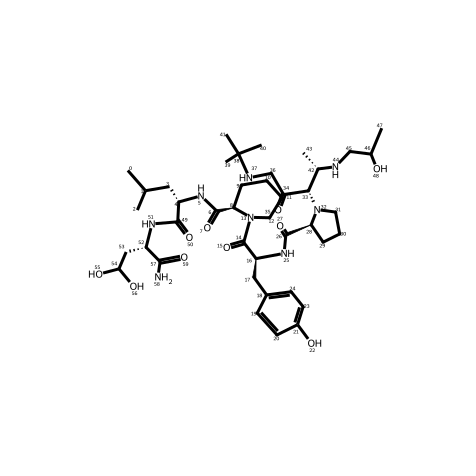 CC(C)C[C@H](NC(=O)[C@H]1CCCCN1C(=O)[C@H](Cc1ccc(O)cc1)NC(=O)[C@@H]1CCCN1[C@H](C(=O)CNC(C)(C)C)[C@H](C)NCC(C)O)C(=O)N[C@@H](CC(O)O)C(N)=O